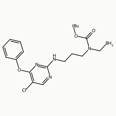 BCN(CCCNc1ncc(Cl)c(Oc2ccccc2)n1)C(=O)OC(C)(C)C